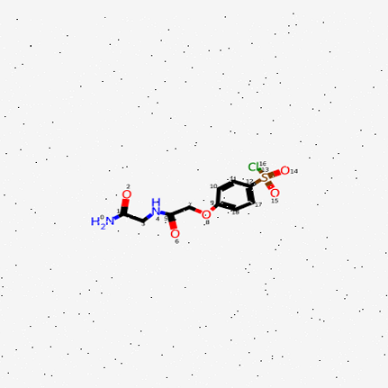 NC(=O)CNC(=O)COc1ccc(S(=O)(=O)Cl)cc1